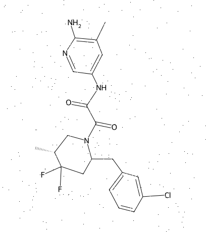 Cc1cc(NC(=O)C(=O)N2C[C@@H](C)C(F)(F)CC2Cc2cccc(Cl)c2)cnc1N